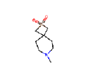 CN1CCC2(CC1)CS(=O)(=O)C2